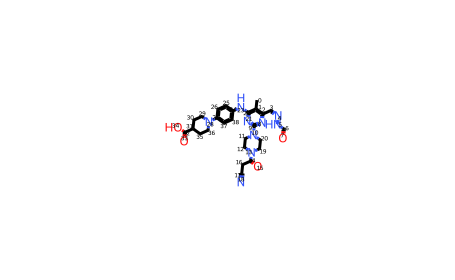 Cc1c(/C=N\NC=O)nc(N2CCN(C(=O)CC#N)CC2)nc1Nc1ccc(N2CCC(C(=O)O)CC2)cc1